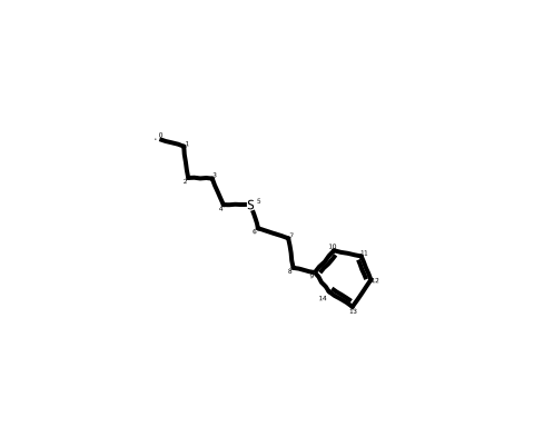 [CH2]CCCCSCCCc1ccccc1